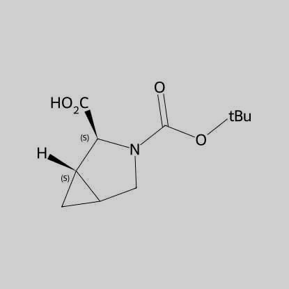 CC(C)(C)OC(=O)N1CC2C[C@@H]2[C@H]1C(=O)O